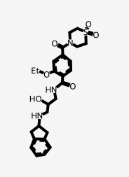 CCOc1cc(C(=O)N2CCS(=O)(=O)CC2)ccc1C(=O)NCC(O)CNC1Cc2ccccc2C1